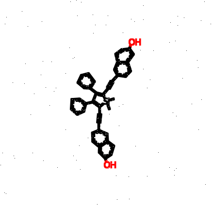 C[Si]1(C)C(C#Cc2ccc3cc(O)ccc3c2)=C(c2ccccc2)C(c2ccccc2)=C1C#Cc1ccc2cc(O)ccc2c1